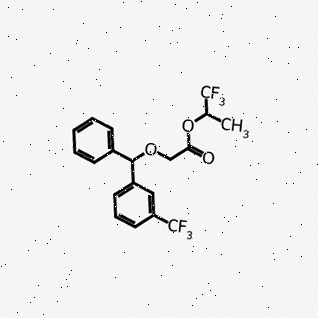 CC(OC(=O)COC(c1ccccc1)c1cccc(C(F)(F)F)c1)C(F)(F)F